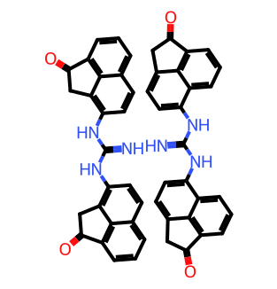 N=C(Nc1ccc2c3c(cccc13)C(=O)C2)Nc1ccc2c3c(cccc13)C(=O)C2.N=C(Nc1ccc2cccc3c2c1CC3=O)Nc1ccc2cccc3c2c1CC3=O